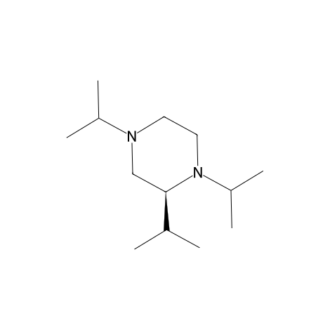 CC(C)[C@H]1CN(C(C)C)CCN1C(C)C